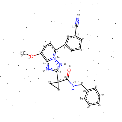 COc1ccc(-c2cccc(C#N)c2)n2nc(C3(C(=O)NCc4ccccc4)CC3)nc12